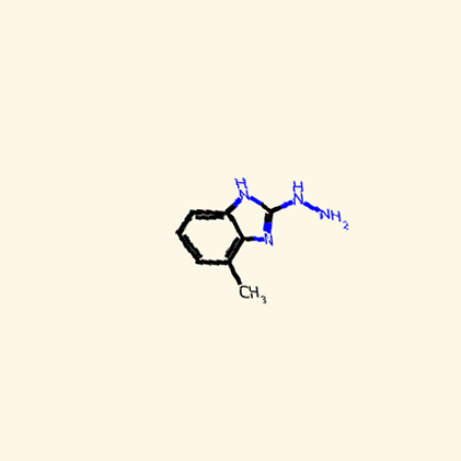 Cc1cccc2[nH]c(NN)nc12